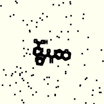 O=C(O)c1ccc2c(n1)N(C(=O)Nc1cc3c(cn1)OCCC3)C1CCN2C1